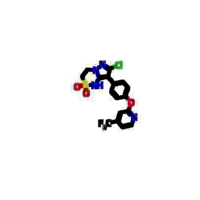 O=S1(=O)CCn2nc(Cl)c(-c3ccc(Oc4cc(C(F)(F)F)ccn4)cc3)c2N1